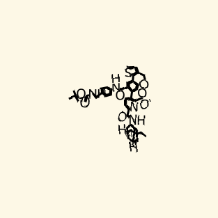 CCC12C[C@H]3C[C@@H](C1)CC(NC(=O)c1ccc(-c4cc5c(cc4C(=O)Nc4ccc(CNC(=O)OC(C)(C)C)cc4)-c4sccc4CCO5)c(C(=O)OC)n1)(C3)C2